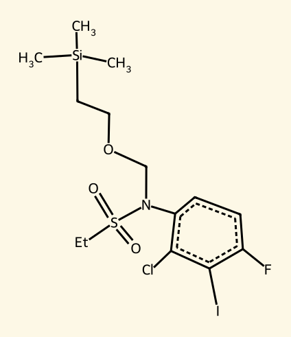 CCS(=O)(=O)N(COCC[Si](C)(C)C)c1ccc(F)c(I)c1Cl